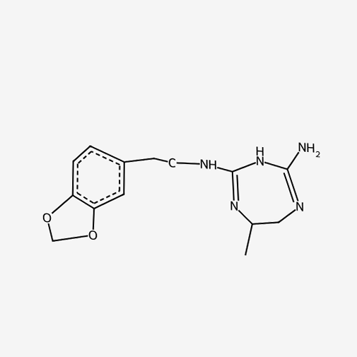 CC1CN=C(N)NC(NCCc2ccc3c(c2)OCO3)=N1